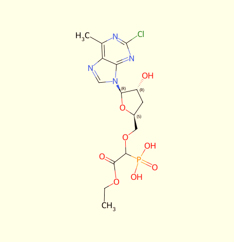 CCOC(=O)C(OC[C@@H]1C[C@@H](O)[C@H](n2cnc3c(C)nc(Cl)nc32)O1)P(=O)(O)O